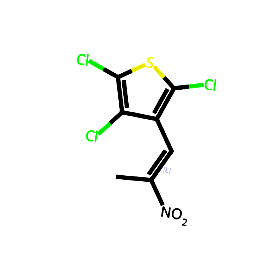 C/C(=C\c1c(Cl)sc(Cl)c1Cl)[N+](=O)[O-]